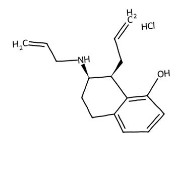 C=CCN[C@@H]1CCc2cccc(O)c2[C@@H]1CC=C.Cl